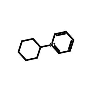 c1cc[n+](C2CCCCC2)cc1